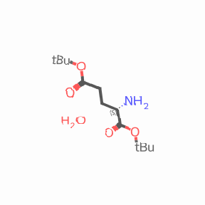 CC(C)(C)OC(=O)CC[C@H](N)C(=O)OC(C)(C)C.O